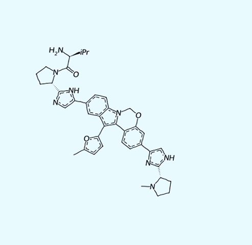 Cc1ccc(-c2c3n(c4ccc(-c5cnc([C@@H]6CCCN6C(=O)[C@@H](N)C(C)C)[nH]5)cc24)COc2cc(-c4c[nH]c([C@@H]5CCCN5C)n4)ccc2-3)o1